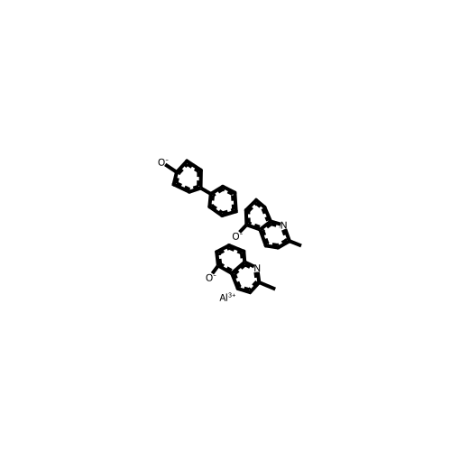 Cc1ccc2c([O-])cccc2n1.Cc1ccc2c([O-])cccc2n1.[Al+3].[O-]c1ccc(-c2ccccc2)cc1